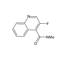 CNC(=O)c1c(F)cnc2ccccc12